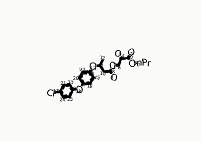 CCCOC(=O)C(=O)COC(=O)CC(C)Oc1ccc(Oc2ccc(Cl)cc2)cc1